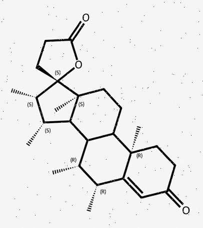 C[C@@H]1C2C(CC[C@@]3(C)C2[C@H](C)[C@H](C)[C@@]32CCC(=O)O2)[C@@]2(C)CCC(=O)C=C2[C@@H]1C